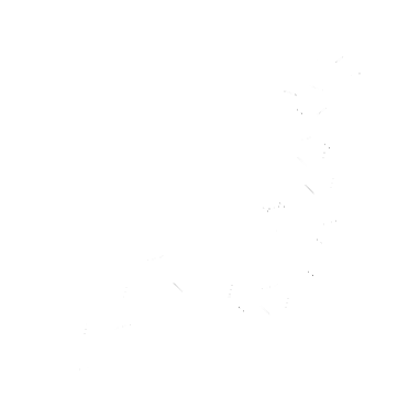 CC/C=C\C/C=C\C/C=C\C/C=C\C/C=C\C/C=C\CCC(=O)Nc1ccc(CN2CCN(C(=O)Oc3ccc4nc5c(cc4c3C/N=N/C)Cn3c-5cc4c(c3=O)COC(=O)[C@]4(O)CC)CC2)cc1